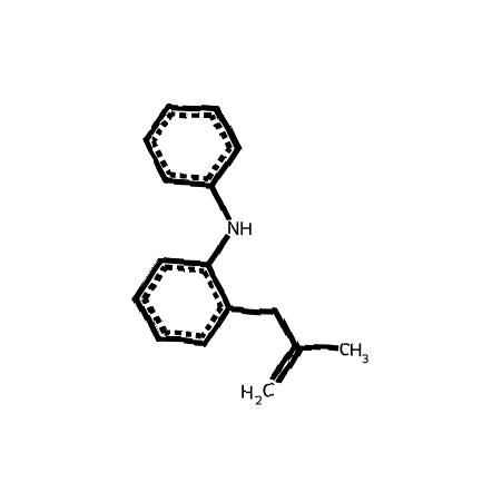 C=C(C)Cc1ccccc1Nc1ccccc1